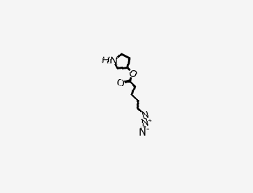 [N-]=[N+]=NCCCCC(=O)OC1CCNC1